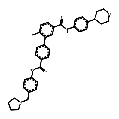 Cc1ccc(C(=O)Nc2ccc(N3CCOCC3)cc2)cc1-c1ccc(C(=O)Nc2ccc(CN3CCCC3)cc2)cc1